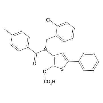 Cc1ccc(C(=O)N(Cc2ccccc2Cl)c2cc(-c3ccccc3)sc2OC(=O)O)cc1